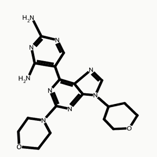 Nc1ncc(-c2nc(N3CCOCC3)nc3c2ncn3C2CCOCC2)c(N)n1